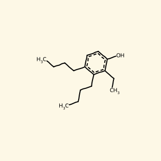 CCCCc1ccc(O)c(CC)c1CCCC